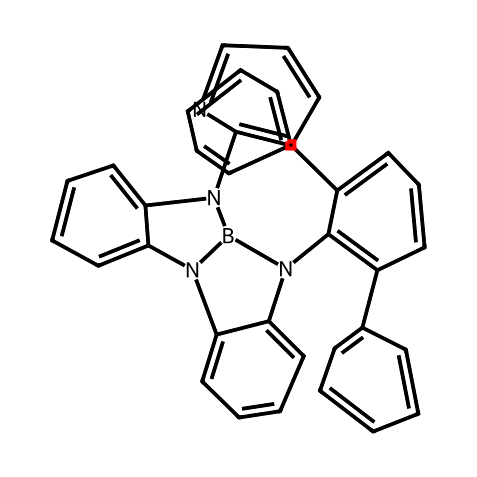 c1ccc(-c2cccc(-c3ccccc3)c2N2B3N(c4ccccn4)c4ccccc4N3c3ccccc32)cc1